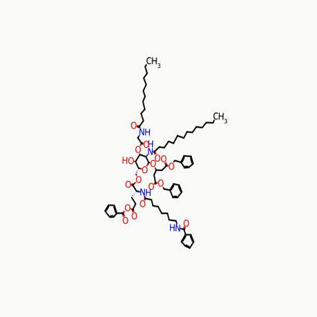 CCCCCCCCCCCCCC(=O)N[C@H]1[C@@H](OC(CC(=O)OCc2ccccc2)CC(=O)OCc2ccccc2)O[C@H](COC(=O)[C@@H](CCC(=O)OC(=O)c2ccccc2)NC(=O)CCCCCCCNC(=O)c2ccccc2)[C@@H](O)[C@@H]1OC(=O)CNC(=O)CCCCCCCCCCC